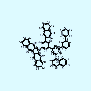 c1ccc(-c2cccc(-c3nc(-c4cccc5ccccc45)nc(-c4cc(-n5c6cc7ccccc7cc6c6cc7ccccc7cc65)cc5c4oc4cc6ccccc6cc45)n3)c2)cc1